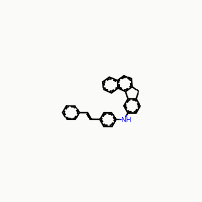 C(=Cc1ccc(Nc2ccc3c(c2)-c2c(ccc4ccccc24)C3)cc1)c1ccccc1